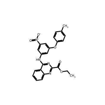 CCOC(=O)c1nc(Nc2cc(Oc3ccc(C)cc3)cc([N+](=O)[O-])c2)c2ccccc2n1